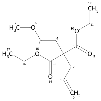 C=CCC(CCOC)(C(=O)OCC)C(=O)OCC